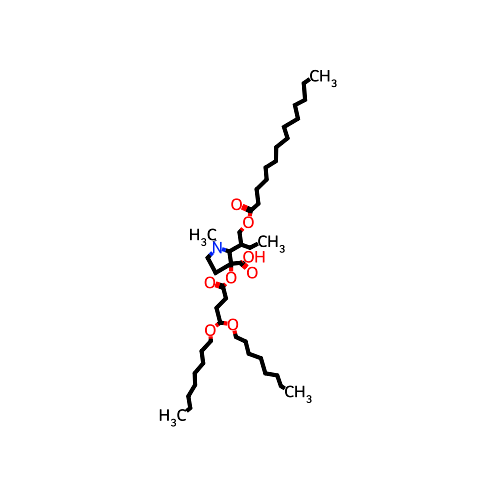 CCCCCCCCCCCCCC(=O)OCC(CC)C1N(C)CCC1(OC(=O)CCC(OCCCCCCCC)OCCCCCCCC)C(=O)O